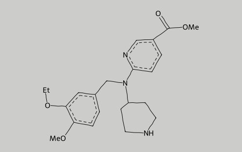 CCOc1cc(CN(c2ccc(C(=O)OC)cn2)C2CCNCC2)ccc1OC